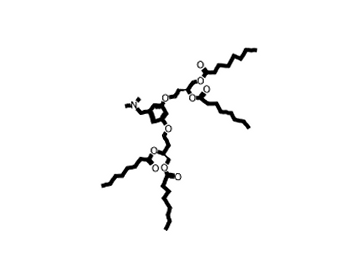 CCCCCCCC(=O)OC[C@H](CCOc1cc(CN(C)C)cc(OCC[C@@H](COC(=O)CCCCCCC)OC(=O)CCCCCCC)c1)OC(=O)CCCCCCC